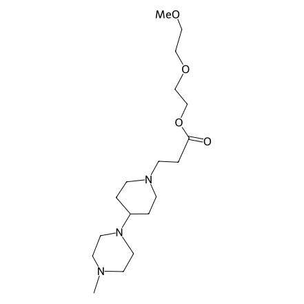 COCCOCCOC(=O)CCN1CCC(N2CCN(C)CC2)CC1